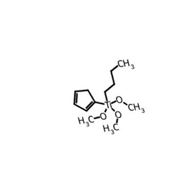 CCC[CH2][Ti]([O]C)([O]C)([O]C)[C]1=CC=CC1